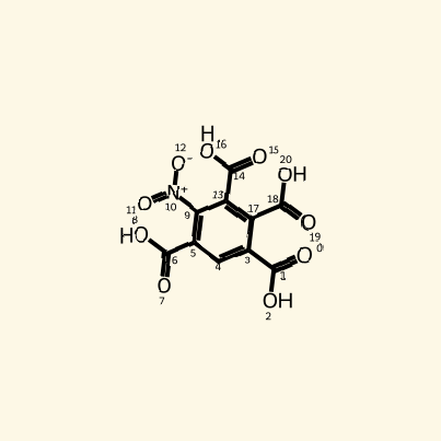 O=C(O)c1cc(C(=O)O)c([N+](=O)[O-])c(C(=O)O)c1C(=O)O